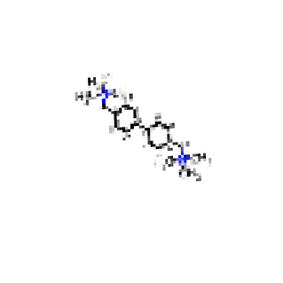 C[N+](C)(C)Cc1ccc(-c2ccc(C[N+](C)(C)C)cc2)cc1